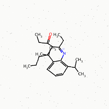 CCCCC(C(=O)CC)/C(CC)=N\c1c(C(C)C)cccc1C(C)C